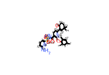 Cc1cc(C)c(Oc2nc(C3CC(C)(C)CCC3=O)ccc2C(=O)NS(=O)(=O)c2cccc(N)n2)c(C)c1